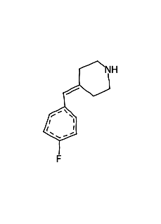 Fc1ccc(C=C2CCNCC2)cc1